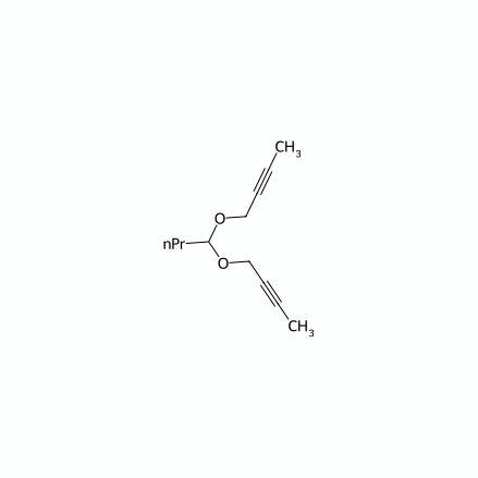 CC#CCOC(CCC)OCC#CC